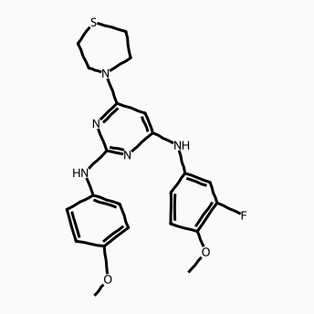 COc1ccc(Nc2nc(Nc3ccc(OC)c(F)c3)cc(N3CCSCC3)n2)cc1